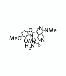 CNc1ncc(-c2nc3c(OC)c(OC)ccc3o2)c2cc(C3(C(N)=O)CC3)ncc12